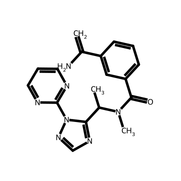 C=C(N)c1cccc(C(=O)N(C)C(C)c2ncnn2-c2ncccn2)c1